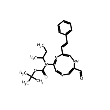 CCC(C)N(C(=O)OC(C)(C)C)c1cncc(C=O)[nH]cc(C=Cc2ccccc2)n1